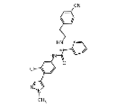 Cn1cc(-c2ccc(NC(=O)[C@H](NCCc3ccc(C#N)cc3)c3ccccc3)cc2Cl)cn1